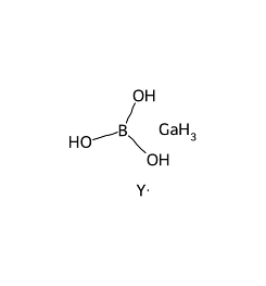 OB(O)O.[GaH3].[Y]